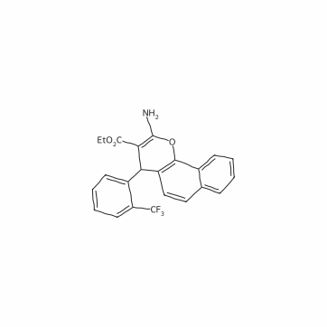 CCOC(=O)C1=C(N)Oc2c(ccc3ccccc23)C1c1ccccc1C(F)(F)F